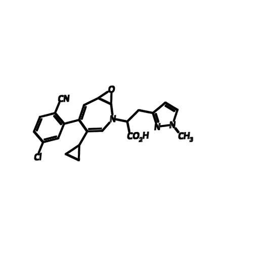 Cn1ccc(CC(C(=O)O)N2C=C(C3CC3)C(c3cc(Cl)ccc3C#N)=CC3OC32)n1